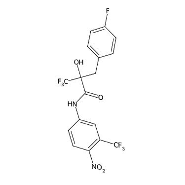 O=C(Nc1ccc([N+](=O)[O-])c(C(F)(F)F)c1)C(O)(Cc1ccc(F)cc1)C(F)(F)F